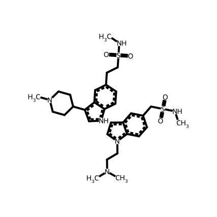 CNS(=O)(=O)CCc1ccc2[nH]cc(C3CCN(C)CC3)c2c1.CNS(=O)(=O)Cc1ccc2c(ccn2CCN(C)C)c1